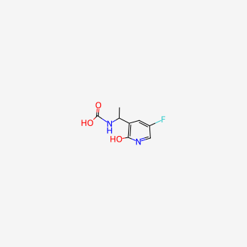 CC(NC(=O)O)c1cc(F)cnc1O